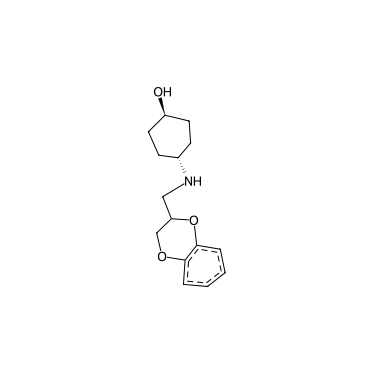 O[C@H]1CC[C@H](NCC2COc3ccccc3O2)CC1